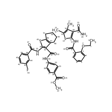 CCOc1ccccc1C(=O)Nc1sc(C)c(C)c1C(N)=O.COC(=O)c1ccc(NC(=O)c2c(NC(=O)c3cccc(F)c3)sc3c2CCCC3)cc1